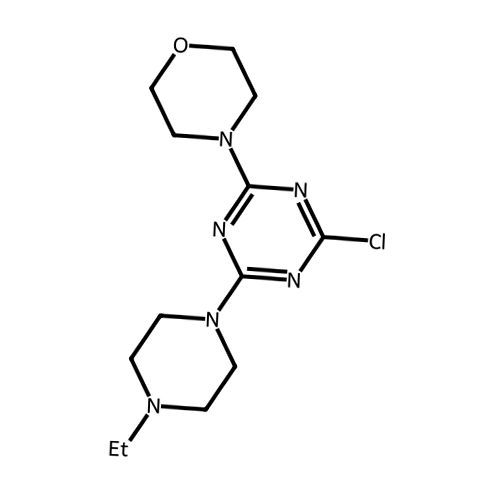 CCN1CCN(c2nc(Cl)nc(N3CCOCC3)n2)CC1